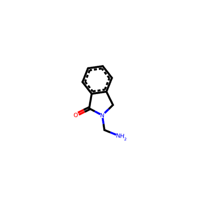 NCN1Cc2ccccc2C1=O